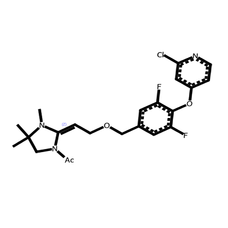 CC(=O)N1CC(C)(C)N(C)/C1=C/COCc1cc(F)c(Oc2ccnc(Cl)c2)c(F)c1